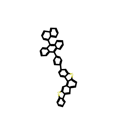 c1ccc2c(-c3c4ccccc4c(-c4ccc(-c5ccc6c(c5)sc5ccc7cc8c(cc7c56)sc5ccccc58)cc4)c4ccccc34)cccc2c1